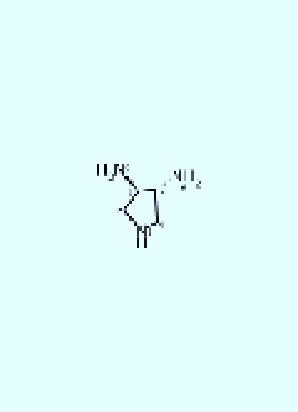 N[C@@H]1CNC[C@H]1N